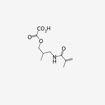 C=C(C)C(=O)NCC(C)COC(=O)C(=O)O